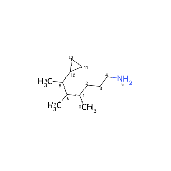 CC(CCCN)C(C)C(C)C1CC1